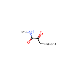 CCCCCCC(=O)C(=O)NC(C)C